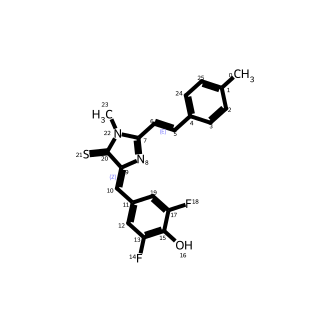 Cc1ccc(/C=C/C2=NC(=C\c3cc(F)c(O)c(F)c3)/C(=S)N2C)cc1